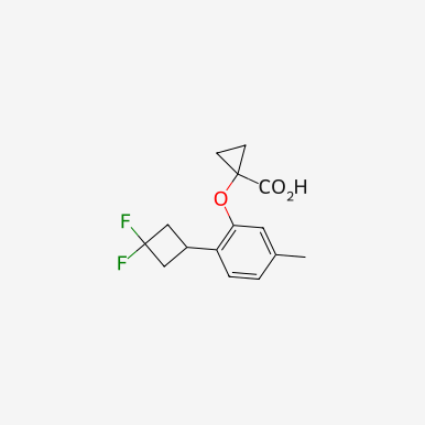 Cc1ccc(C2CC(F)(F)C2)c(OC2(C(=O)O)CC2)c1